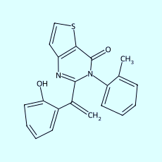 C=C(c1ccccc1O)c1nc2ccsc2c(=O)n1-c1ccccc1C